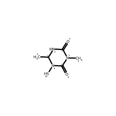 CC1NC(=O)N(C)C(=O)N1S